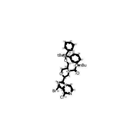 CCCCOC(=O)N1CC(c2nc(Br)c3c(Cl)nccn23)OCC1CO[Si](c1ccccc1)(c1ccccc1)C(C)(C)C